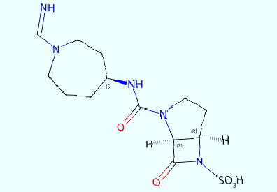 N=CN1CCC[C@H](NC(=O)N2CC[C@@H]3[C@H]2C(=O)N3S(=O)(=O)O)CC1